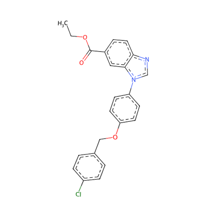 CCOC(=O)c1ccc2ncn(-c3ccc(OCc4ccc(Cl)cc4)cc3)c2c1